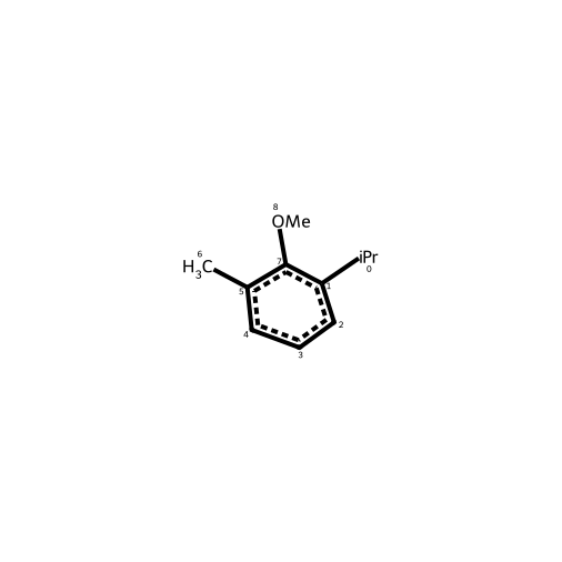 [CH2]C(C)c1cccc(C)c1OC